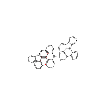 c1ccc(-c2ccccc2-c2cccc(N(c3ccc(-c4ccccc4-n4c5ccccc5c5ccccc54)cc3)c3ccccc3-c3cccc4c3oc3ccccc34)c2)cc1